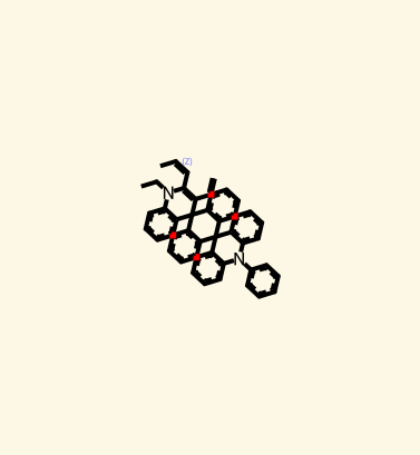 C=CC1=C(/C=C\C)N(CC)c2ccccc2C12c1ccccc1C1(c3ccccc3N(c3ccccc3)c3ccccc31)c1ccccc12